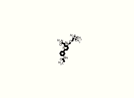 C=CC(=O)Nc1cccc(-c2ccc3c(n2)c(C(N)=O)nn3COCC[Si](C)(C)C)c1